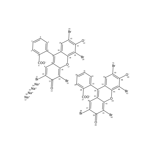 O=C([O-])c1ccccc1-c1c2cc(Br)c(=O)c(Br)c-2oc2c(Br)c([O-])c(Br)cc12.O=C([O-])c1ccccc1-c1c2cc(Br)c(=O)c(Br)c-2oc2c(Br)c([O-])c(Br)cc12.[Na+].[Na+].[Na+].[Na+]